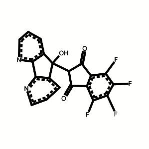 O=C1c2c(F)c(F)c(F)c(F)c2C(=O)C1C1(O)c2cccnc2-c2ncccc21